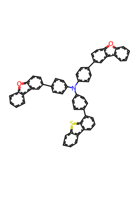 c1ccc2c(c1)oc1ccc(-c3ccc(N(c4ccc(-c5ccc6oc7ccccc7c6c5)cc4)c4ccc(-c5cccc6c5sc5ccccc56)cc4)cc3)cc12